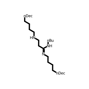 CCCCCCCCCCCCCCN=C(CCNCCCCCCCCCCCCCC)NCCCC